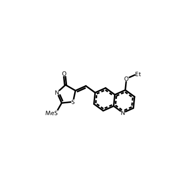 CCOc1ccnc2ccc(/C=C3\SC(SC)=NC3=O)cc12